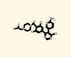 CCc1ncnc(-c2cc(Cl)c(C(=O)N3CCN(CC(F)F)CC3)c(Cl)c2)c1-c1ccc(N)nc1